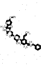 CC=Cc1cc(C(OCc2ccccc2)(C(F)(F)F)C(F)(F)F)ccc1N1CCN(C(=O)CN2C(=O)NC(C)(c3ccc(OC(C)C)cn3)C2=O)CC1C